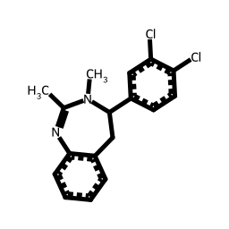 CC1=Nc2ccccc2CC(c2ccc(Cl)c(Cl)c2)N1C